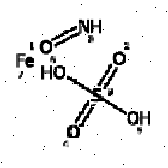 N=O.O=S(=O)(O)O.[Fe]